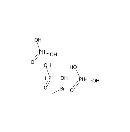 CBr.O=[PH](O)O.O=[PH](O)O.O=[PH](O)O